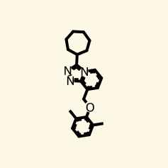 Cc1cccc(C)c1OCc1cccn2c(C3CCCCCC3)nnc12